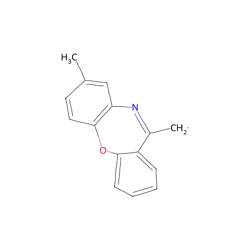 [CH2]C1=Nc2cc(C)ccc2Oc2ccccc21